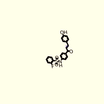 O=C(/C=C/c1ccc(O)cc1)c1ccc(NS(=O)(=O)c2ccccc2F)cc1